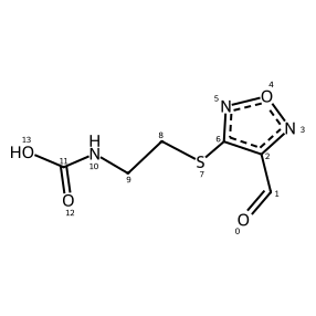 O=Cc1nonc1SCCNC(=O)O